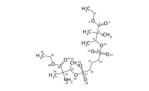 CCOC(=O)C(C)(C)C(C)OS(=O)(=O)CCCS(=O)(=O)OC(C)C(C)(N)C(=O)OCC